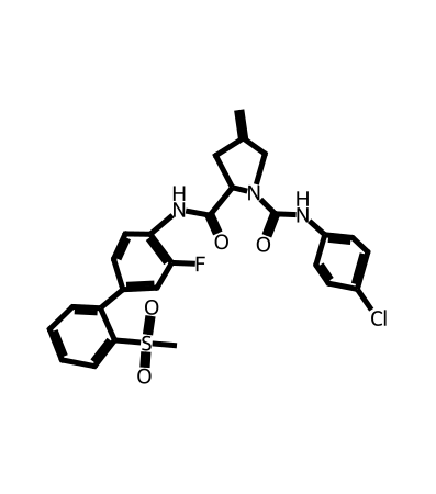 C=C1CC(C(=O)Nc2ccc(-c3ccccc3S(C)(=O)=O)cc2F)N(C(=O)Nc2ccc(Cl)cc2)C1